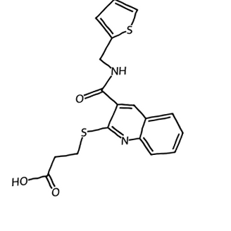 O=C(O)CCSc1nc2ccccc2cc1C(=O)NCc1cccs1